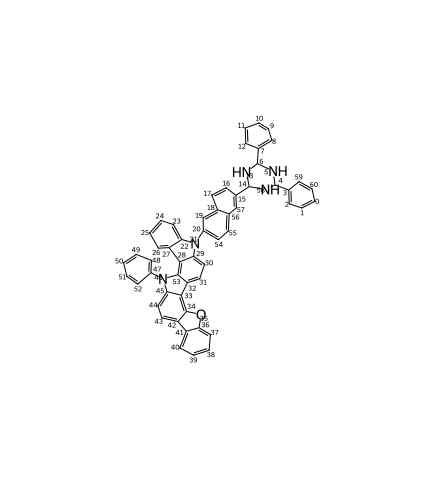 c1ccc(C2NC(c3ccccc3)NC(c3ccc4cc(-n5c6ccccc6c6c5ccc5c7c8oc9ccccc9c8ccc7n(-c7ccccc7)c56)ccc4c3)N2)cc1